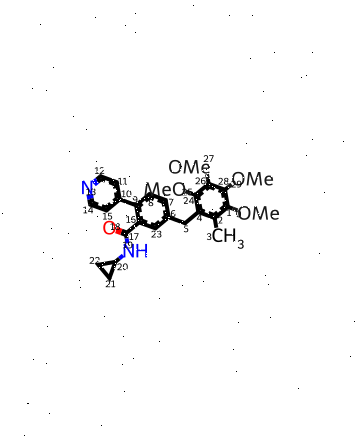 COc1c(C)c(Cc2ccc(-c3ccncc3)c(C(=O)NC3CC3)c2)c(OC)c(OC)c1OC